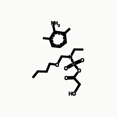 CCCCOCN(CC)S(=O)(=O)OC(=O)CO.Cc1cccc(C)c1N